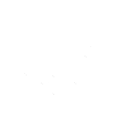 Cc1cccc(C(=O)N2CCC(N3CCCCC(Nc4nccc(N5CCCCCC5)n4)C3)CC2)c1